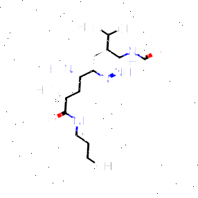 CCCCNC(=O)[C@H](C)C[C@H](N)[C@H](C[C@H](CNC=O)C(C)C)N=N